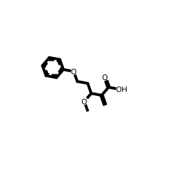 C=C(C(=O)O)C(CCOc1ccccc1)OC